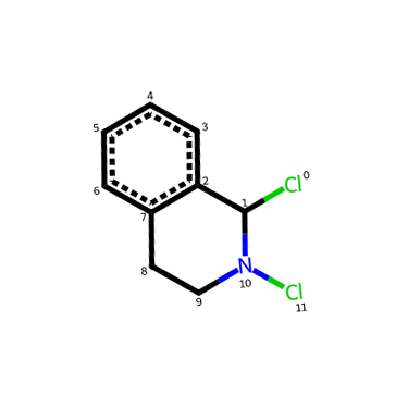 ClC1c2ccccc2CCN1Cl